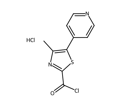 Cc1nc(C(=O)Cl)sc1-c1ccncc1.Cl